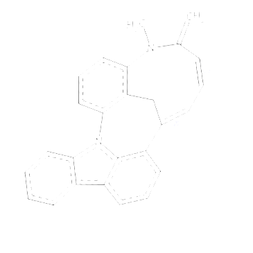 C=C1/C=C\C=C2/Cc3c(cccc3-n3c4ccccc4c4cccc2c43)N1C